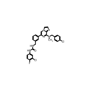 CN(Cc1ccc(Cl)cc1)c1nc(-c2cccc(CNC(=O)Nc3ccc(F)c(Cl)c3)c2)cn2ccnc12